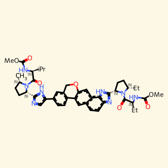 CC[C@H]1CC[C@@H](c2nc3ccc4cc5c(cc4c3[nH]2)OCc2cc(-c3cnc([C@@H]4CC[C@H](C)N4C(=O)[C@@H](NC(=O)OC)C(C)C)[nH]3)ccc2-5)N1C(=O)[C@H](CC)NC(=O)OC